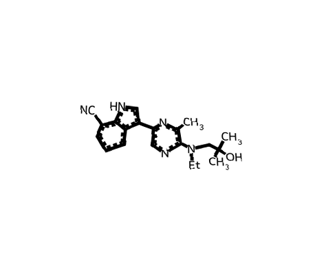 CCN(CC(C)(C)O)c1ncc(-c2c[nH]c3c(C#N)cccc23)nc1C